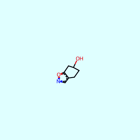 OC1CCc2cnoc2C1